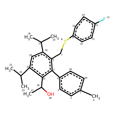 Cc1ccc(-c2c(CSc3ccc(F)cc3)c(C(C)C)cc(C(C)C)c2C(C)O)cc1